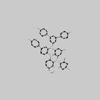 Cc1cc2c3c(c1)N(c1c(C)cc(C(C)(C)C)cc1C)c1c(ccc4c1OCO4)B3c1ccc(-c3ccc(C(C)(C)C)cc3)cc1N2c1cc(-c2ccc(C(C)(C)C)cc2)cc(-c2ccc(C(C)(C)C)cc2)c1